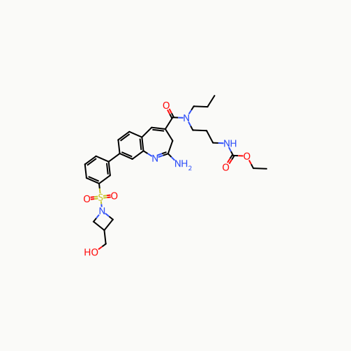 CCCN(CCCNC(=O)OCC)C(=O)C1=Cc2ccc(-c3cccc(S(=O)(=O)N4CC(CO)C4)c3)cc2N=C(N)C1